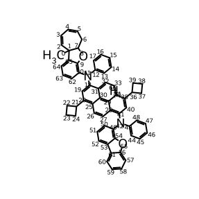 CC12C=CC=CCC1Oc1c(N(c3ccccc3)c3cc(C4CCC4)c4ccc5c6c4c3=CC[C@H]6C(C3CCC3)=CC=5N(c3ccccc3)c3cccc4c3oc3ccccc34)cccc12